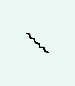 CC=CCC=CCCCC